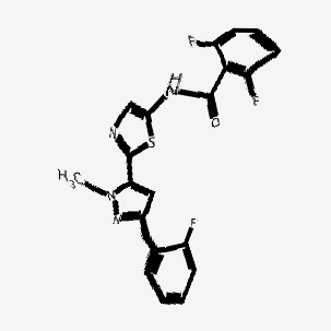 Cn1nc(-c2ccccc2F)cc1-c1ncc(NC(=O)c2c(F)cccc2F)s1